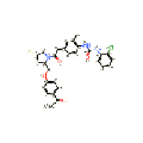 COC(=O)c1ccc(OCC2C[C@H](F)CN2C(=O)Cc2ccc(NC(=O)Nc3ccccc3Cl)c(C)c2)cc1